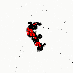 C1=C(c2ccc(N(c3ccccc3)c3ccccc3)c3c2oc2ccc4c(oc5ccc6ccccc6c54)c23)c2ccccc2C2c3ccc4oc5c(-c6cccc7c6ccc6oc8c(ccc9oc%10cccc(N(c%11ccccc%11)c%11ccc(-c%12ccc%13ccccc%13c%12)cc%11)c%10c98)c67)ccc(N(c6ccccc6)c6ccc(-c7cccc8ccccc78)cc6)c5c4c3OC12